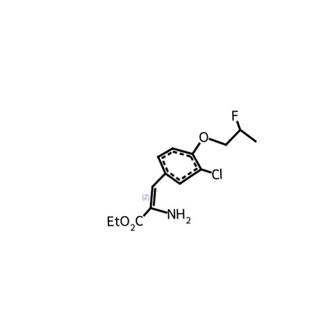 CCOC(=O)/C(N)=C/c1ccc(OCC(C)F)c(Cl)c1